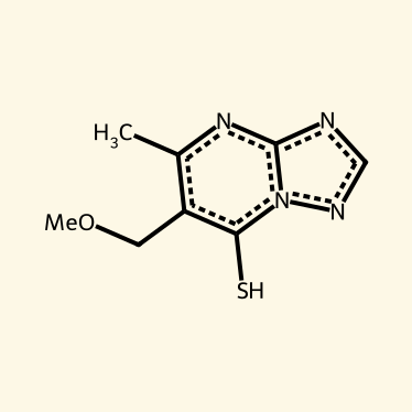 COCc1c(C)nc2ncnn2c1S